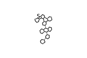 c1ccc(-c2cccc(-c3c4ccccc4c(-c4ccc5c(c4)c4ccccc4c4ccc6sc7ccccc7c6c45)c4ccccc34)c2)cc1